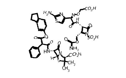 CC1(C)S[C@@H]2[C@H](NC(=O)C(C(=O)Oc3ccc4c(c3)CCC4)c3ccccc3)C(=O)N2[C@H]1C(=O)O.NC(=O)OC[C@@H]1[C@H](NC(=O)/C(=N\OCC(=O)O)c2csc(N)n2)C(=O)N1S(=O)(=O)O